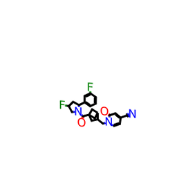 N#Cc1ccn(CC2CC3(C(=O)N4CC(F)CC4c4cccc(F)c4)CC2C3)c(=O)c1